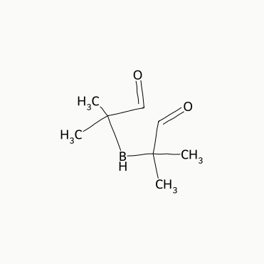 CC(C)(BC(C)(C)C=O)C=O